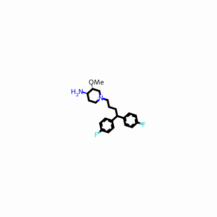 CO[C@@H]1CN(CCCC(c2ccc(F)cc2)c2ccc(F)cc2)CC[C@H]1N